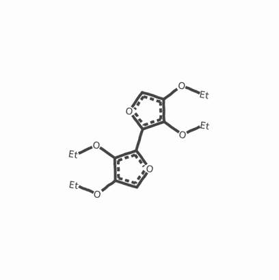 CCOc1coc(-c2occ(OCC)c2OCC)c1OCC